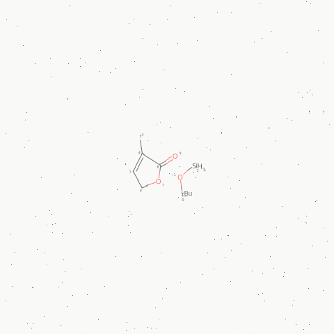 CC(C)(C)O[SiH3].CC1=CCOC1=O